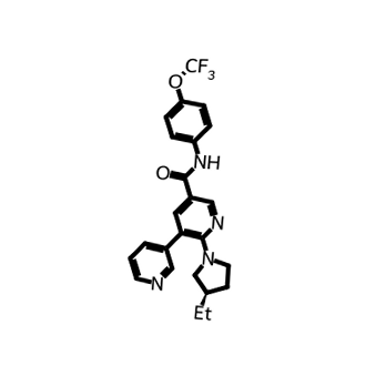 CC[C@@H]1CCN(c2ncc(C(=O)Nc3ccc(OC(F)(F)F)cc3)cc2-c2cccnc2)C1